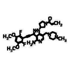 C=CC(=O)N1CCC(n2nc(C#Cc3c(F)c(OC)cc(OC)c3F)c3c(N)ncc(CN4CCN(C)CC4)c32)C1